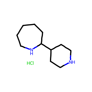 C1CCNC(C2CCNCC2)CC1.Cl